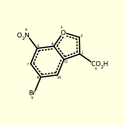 O=C(O)c1coc2c([N+](=O)[O-])cc(Br)cc12